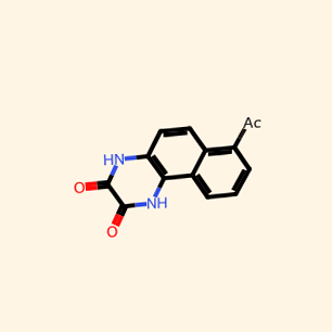 CC(=O)c1cccc2c1ccc1[nH]c(=O)c(=O)[nH]c12